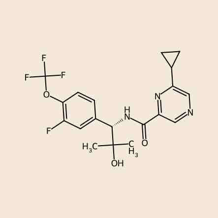 CC(C)(O)[C@@H](NC(=O)c1cncc(C2CC2)n1)c1ccc(OC(F)(F)F)c(F)c1